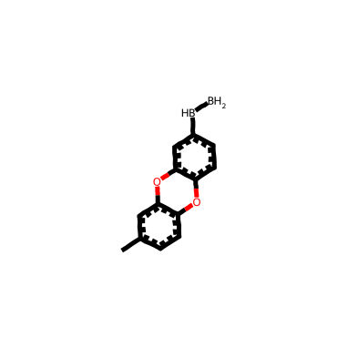 BBc1ccc2c(c1)Oc1cc(C)ccc1O2